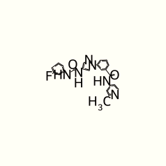 Cc1cc(NC(=O)c2cccc(-n3cc(NC(=O)Nc4cccc(F)c4)cn3)c2)ccn1